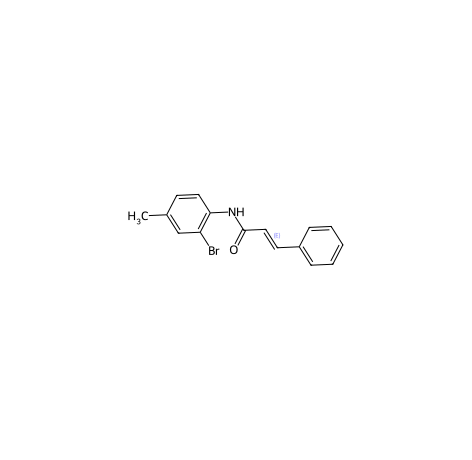 Cc1ccc(NC(=O)/C=C/c2ccccc2)c(Br)c1